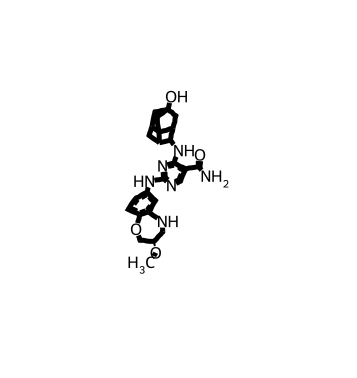 CO[C@H]1CNc2cc(Nc3ncc(C(N)=O)c(NC4C5CC6CC4CC(O)(C6)C5)n3)ccc2OC1